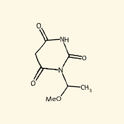 COC(C)N1C(=O)CC(=O)NC1=O